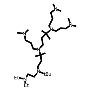 CCN(CC)CCN(CCC(C)(C)N(CCCN(C)C)CCC(C)(C)N(CCCN(C)C)CCCN(C)C)C(C)(C)C